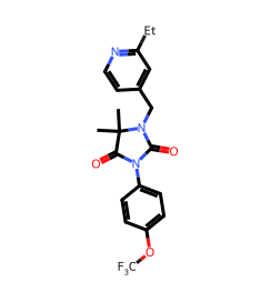 CCc1cc(CN2C(=O)N(c3ccc(OC(F)(F)F)cc3)C(=O)C2(C)C)ccn1